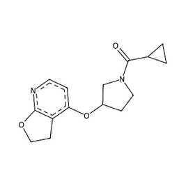 O=C(C1CC1)N1CCC(Oc2ccnc3c2CCO3)C1